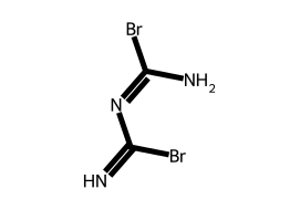 N=C(Br)/N=C(\N)Br